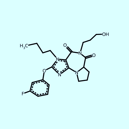 CCCCn1c(Oc2cccc(F)c2)nc2c1C(=O)N(CCCO)C(=O)C1CCCN21